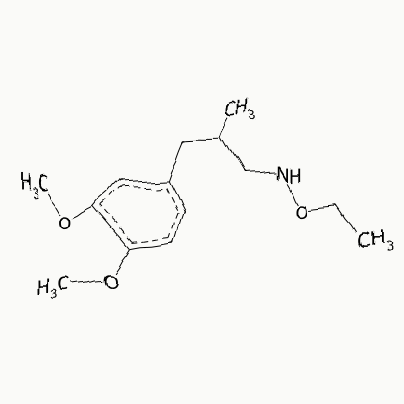 CCONCC(C)Cc1ccc(OC)c(OC)c1